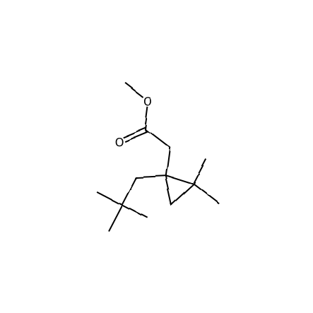 COC(=O)CC1(CC(C)(C)C)CC1(C)C